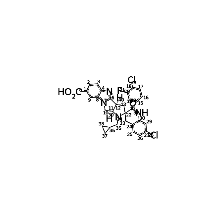 O=C(O)c1ccc2nc3n(c2c1)C[C@H]1[C@@H]3[C@H](c2cccc(Cl)c2F)[C@@]2(Cc3ccc(Cl)cc3NC2=O)N1CC1CC1